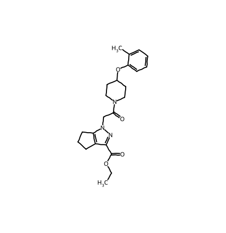 CCOC(=O)c1nn(CC(=O)N2CCC(Oc3ccccc3C)CC2)c2c1CCC2